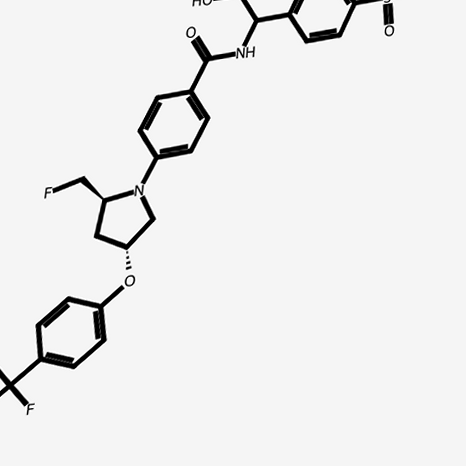 CCS(=O)(=O)c1ccc(C(CO)NC(=O)c2ccc(N3C[C@H](Oc4ccc(C(F)(F)F)cc4)C[C@H]3CF)cc2)cc1